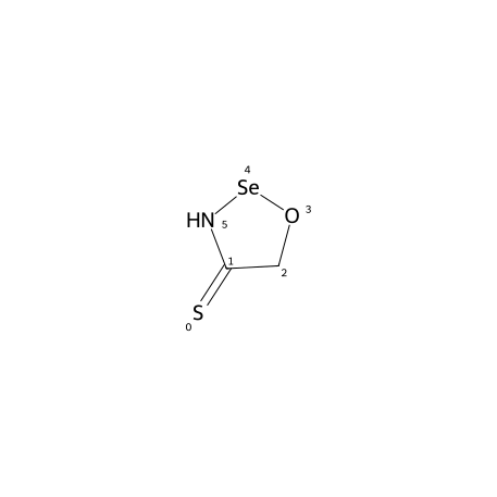 S=C1CO[Se]N1